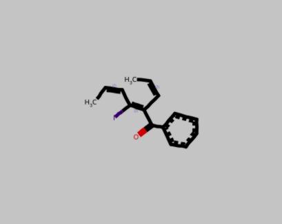 C\C=C/C(I)=C(\C=C/C)C(=O)c1ccccc1